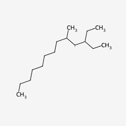 CCCCCCCCC(C)[CH]C(CC)CC